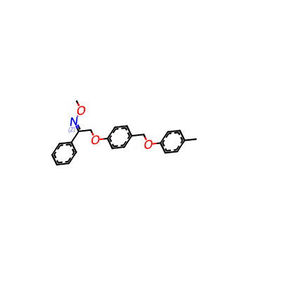 CO/N=C(\COc1ccc(COc2ccc(C)cc2)cc1)c1ccccc1